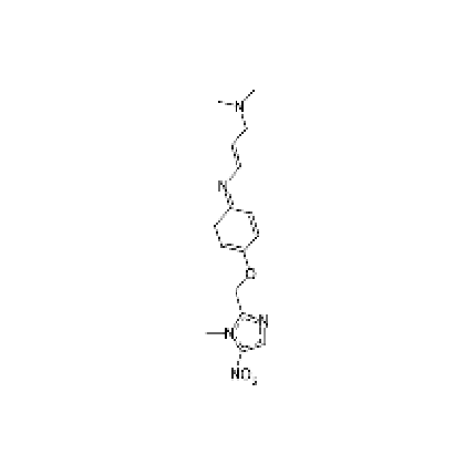 CN(C)CC=CN=C1C=CC(OCc2ncc([N+](=O)[O-])n2C)=CC1